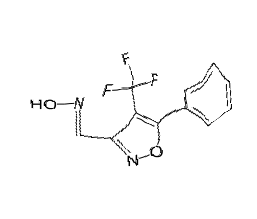 ON=Cc1noc(-c2ccccc2)c1C(F)(F)F